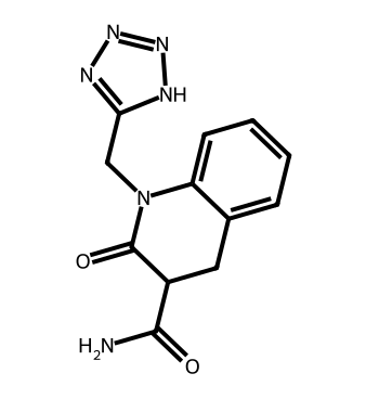 NC(=O)C1Cc2ccccc2N(Cc2nnn[nH]2)C1=O